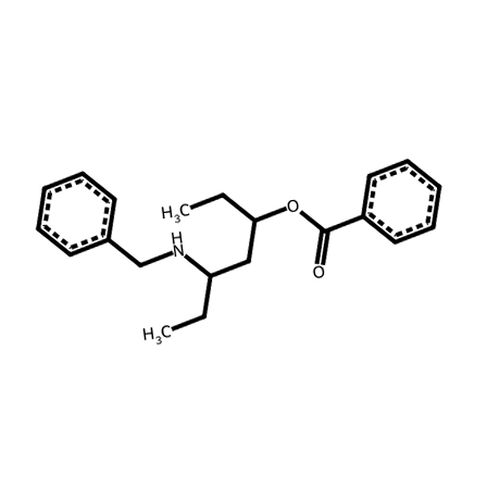 CCC(CC(CC)OC(=O)c1ccccc1)NCc1ccccc1